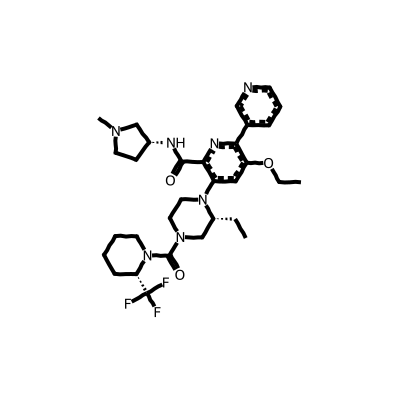 CCOc1cc(N2CCN(C(=O)N3CCCC[C@H]3C(F)(F)F)C[C@H]2CC)c(C(=O)N[C@@H]2CCN(C)C2)nc1-c1cccnc1